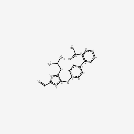 CC(C)Cc1nc(C=S)nn1Cc1ccc(-c2ccccc2C(=O)O)cc1